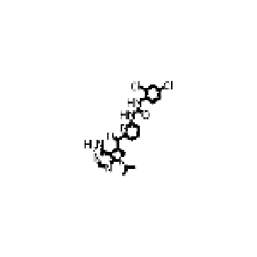 CC(C)n1cc(C(=O)c2cccc(NC(=O)Nc3ccc(Cl)cc3Cl)n2)c2c(N)ncnc21